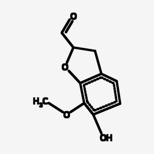 COc1c(O)ccc2c1OC(C=O)C2